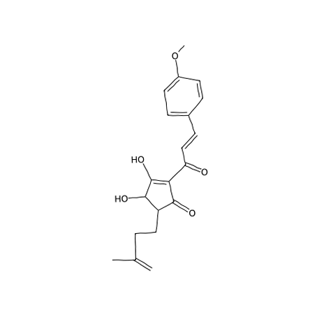 C=C(C)CCC1C(=O)C(C(=O)C=Cc2ccc(OC)cc2)=C(O)C1O